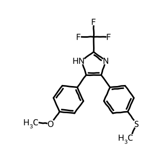 COc1ccc(-c2[nH]c(C(F)(F)F)nc2-c2ccc(SC)cc2)cc1